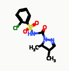 CC1C=NN(C(=O)NS(=O)(=O)c2ccccc2Cl)C1C